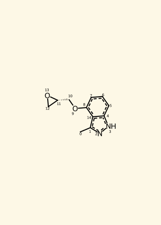 Cc1n[nH]c2cccc(OC[C@@H]3CO3)c12